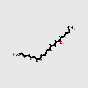 CCCC[CH]C(=O)CCCCCCC/C=C\CCCCCC